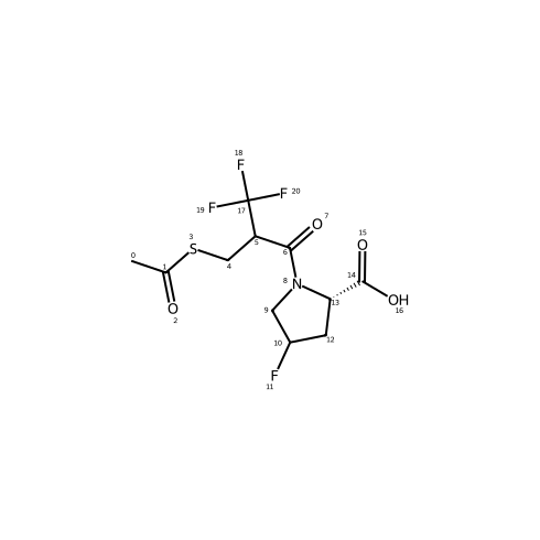 CC(=O)SCC(C(=O)N1CC(F)C[C@H]1C(=O)O)C(F)(F)F